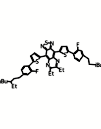 CCCCC(CC)CCc1ccc(-c2ccc(-c3c4nsnc4c(-c4ccc(-c5ccc(CCC(C)CC)cc5F)s4)c4nc(CC)c(CC)nc34)s2)c(F)c1